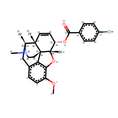 COc1ccc2c3c1O[C@H]1[C@@H](OC(=O)c4ccc(Cl)cc4)C=C[C@H]4[C@@H](C2)N(C)CC[C@@]341